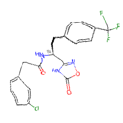 O=C(Cc1cccc(Cl)c1)N[C@@H](Cc1ccc(C(F)(F)F)cc1)c1noc(=O)[nH]1